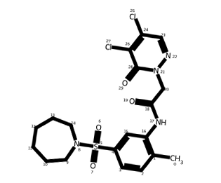 Cc1ccc(S(=O)(=O)N2CCCCCC2)cc1NC(=O)Cn1ncc(Cl)c(Cl)c1=O